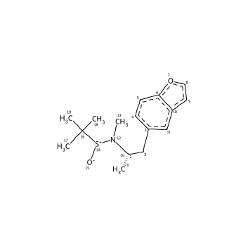 C[C@@H](Cc1ccc2occc2c1)N(C)[S+]([O-])C(C)(C)C